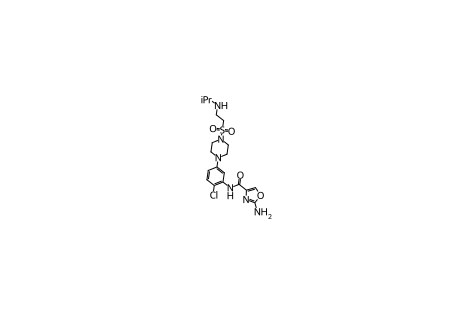 CC(C)NCCS(=O)(=O)N1CCN(c2ccc(Cl)c(NC(=O)c3coc(N)n3)c2)CC1